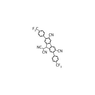 N#Cc1cc2c(cc1-c1ccc(C(F)(F)F)cc1)C(C(C#N)C#N)c1cc(-c3ccc(C(F)(F)F)cc3)c(C#N)cc1-2